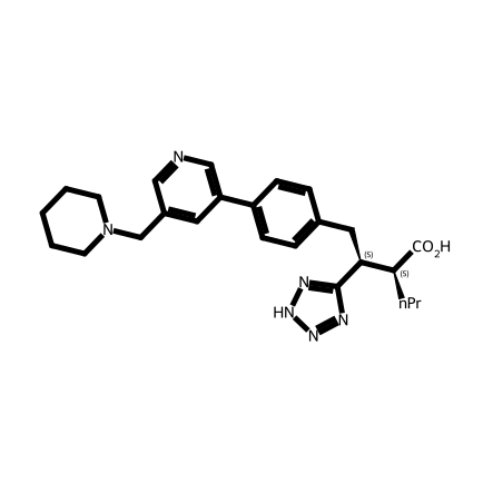 CCC[C@H](C(=O)O)[C@H](Cc1ccc(-c2cncc(CN3CCCCC3)c2)cc1)c1nn[nH]n1